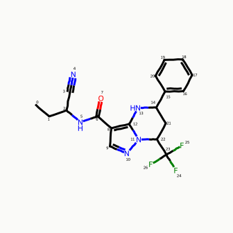 CCC(C#N)NC(=O)c1cnn2c1NC(c1ccccc1)CC2C(F)(F)F